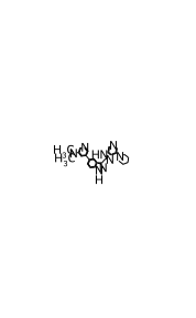 CN(C)c1cncc(-c2ccc3[nH]nc(-c4nc5c(N6CCCCC6)cncc5[nH]4)c3c2)c1